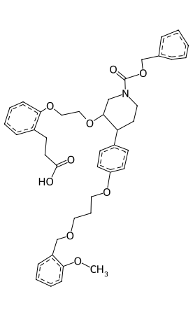 COc1ccccc1COCCCOc1ccc(C2CCN(C(=O)OCc3ccccc3)CC2OCCOc2ccccc2CCC(=O)O)cc1